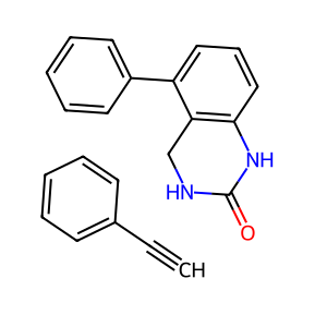 C#Cc1ccccc1.O=C1NCc2c(cccc2-c2ccccc2)N1